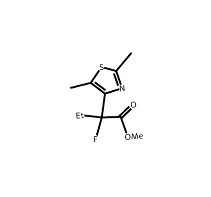 CCC(F)(C(=O)OC)c1nc(C)sc1C